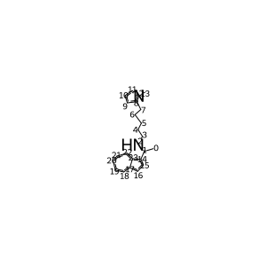 CC(NCCCCCc1cccn1C)c1ccc2cccccc1-2